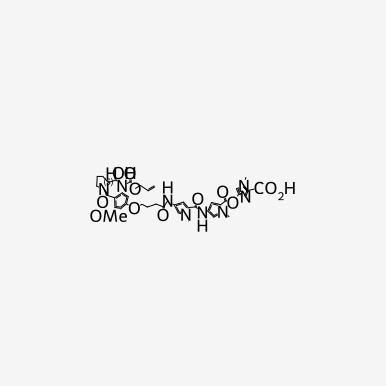 C=CCOC(=O)N1c2cc(OCCCC(=O)Nc3cc(C(=O)Nc4cc(C(=O)Oc5cn(C)c(C(=O)O)n5)n(C)c4)n(C)c3)c(OC)cc2C(=O)N2CCC[C@H]2C1O